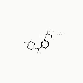 COC(=O)[C@@H](Nc1cccc(C(=O)N2CCN(C)CC2)c1)C(C)(C)C